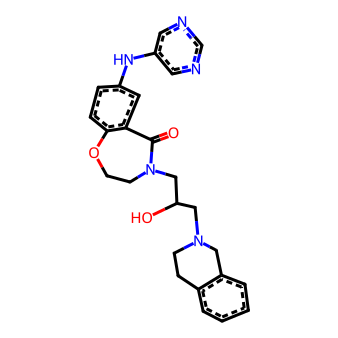 O=C1c2cc(Nc3cncnc3)ccc2OCCN1CC(O)CN1CCc2ccccc2C1